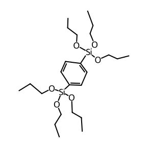 CCCO[Si](OCCC)(OCCC)c1ccc([Si](OCCC)(OCCC)OCCC)cc1